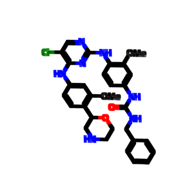 COc1cc(NC(=O)NCc2ccccc2)ccc1Nc1ncc(Cl)c(Nc2ccc(C3CNCCO3)c(OC)c2)n1